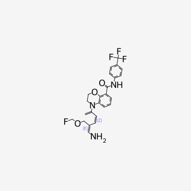 C=C(/C=C\C(=C/N)COCF)N1CCOc2c(C(=O)Nc3ccc(C(F)(F)F)cc3)cccc21